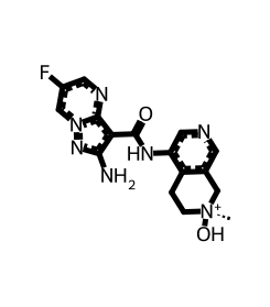 C[N@+]1(O)CCc2c(cncc2NC(=O)c2c(N)nn3cc(F)cnc23)C1